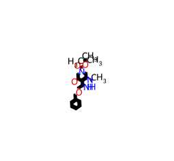 CNC1=C(C(=N)COCc2ccccc2)C(=O)CN(C(=O)OC(C)(C)C)C1